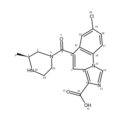 C[C@H]1CN(C(=O)c2cc3c(C(=O)O)ncn3c3ccc(Cl)cc23)CCN1